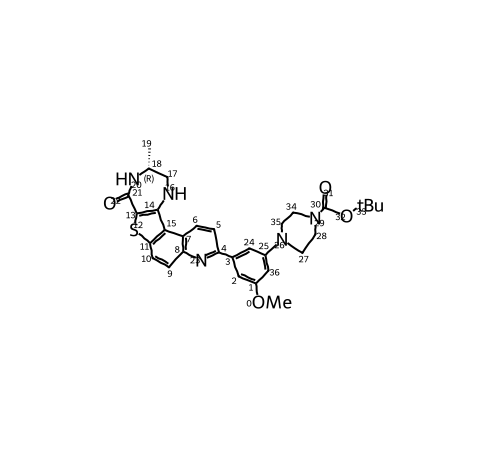 COc1cc(-c2ccc3c(ccc4sc5c(c43)NC[C@@H](C)NC5=O)n2)cc(N2CCN(C(=O)OC(C)(C)C)CC2)c1